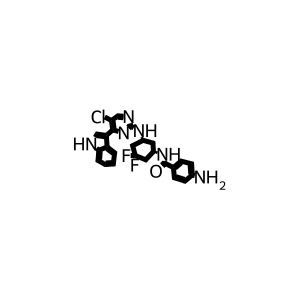 Nc1ccc(C(=O)N[C@@H]2C[C@H](Nc3ncc(Cl)c(-c4c[nH]c5ccccc45)n3)CC(F)(F)C2)cc1